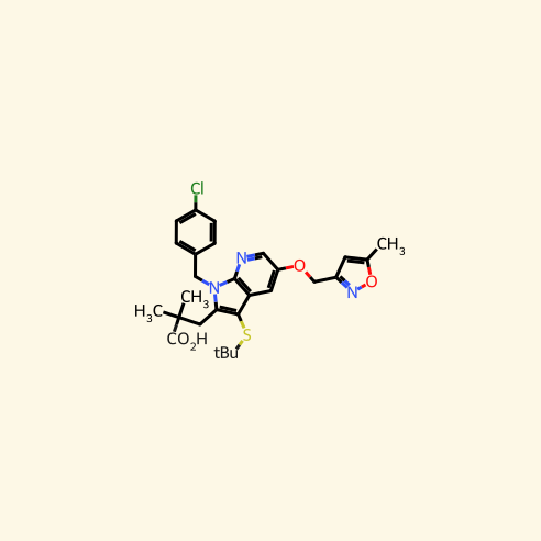 Cc1cc(COc2cnc3c(c2)c(SC(C)(C)C)c(CC(C)(C)C(=O)O)n3Cc2ccc(Cl)cc2)no1